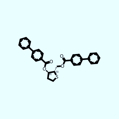 O=C(OC[C@@H]1SCC[C@H]1OC(=O)c1ccc(-c2ccccc2)cc1)c1ccc(-c2ccccc2)cc1